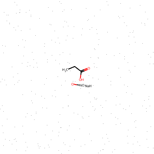 CCC(=O)O.O=[NH+][O-].[NaH]